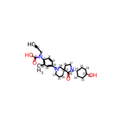 C#CCN(C(=O)O)c1ccc(N2CCC[C@]3(CCN([C@H]4CC[C@H](O)CC4)C3=O)C2)cc1C